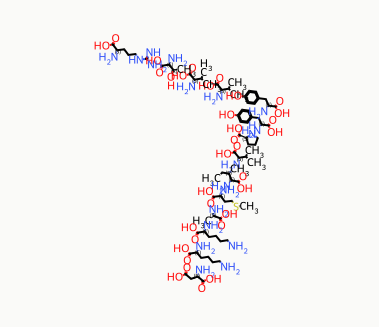 CC(C)[C@H](N)C(=O)O.CC(C)[C@H](N)C(=O)O.CC(C)[C@H](N)C(=O)O.CC[C@H](C)[C@H](N)C(=O)O.CSCC[C@H](N)C(=O)O.C[C@@H](O)[C@H](N)C(=O)O.C[C@H](N)C(=O)O.N=C(N)NCCC[C@H](N)C(=O)O.NCCCC[C@H](N)C(=O)O.NCCCC[C@H](N)C(=O)O.N[C@@H](CC(=O)O)C(=O)O.N[C@@H](Cc1ccc(O)cc1)C(=O)O.N[C@@H](Cc1ccc(O)cc1)C(=O)O.O=C(O)[C@@H]1CCCN1